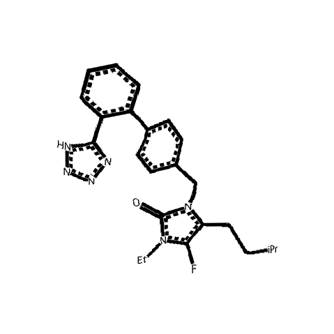 CCn1c(F)c(CCC(C)C)n(Cc2ccc(-c3ccccc3-c3nnn[nH]3)cc2)c1=O